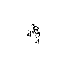 Cc1nnc(CN2CCN(c3ccc(C(F)(F)F)cc3NC(=O)c3ccco3)CC2)o1